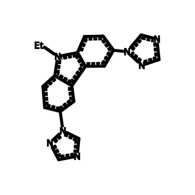 CCn1c2ccc(-n3cncn3)cc2c2cc(-n3cncn3)ccc21